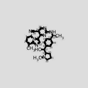 Cc1cccn2c(-c3nc(N[C@@H](C)c4ccc(C(O)C5CCCN5C)cc4)ncc3C#N)cnc12